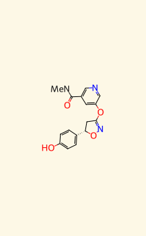 CNC(=O)c1cncc(OC2=NO[C@H](c3ccc(O)cc3)C2)c1